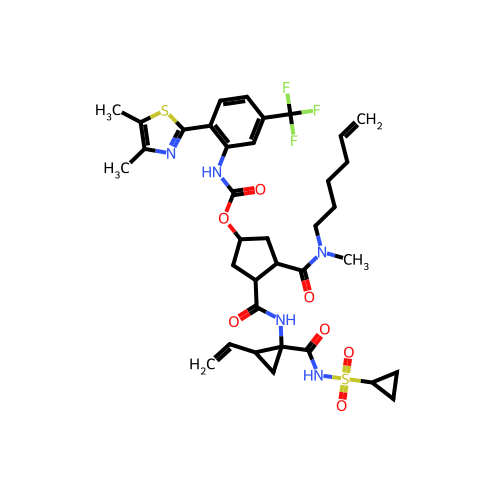 C=CCCCCN(C)C(=O)C1CC(OC(=O)Nc2cc(C(F)(F)F)ccc2-c2nc(C)c(C)s2)CC1C(=O)NC1(C(=O)NS(=O)(=O)C2CC2)CC1C=C